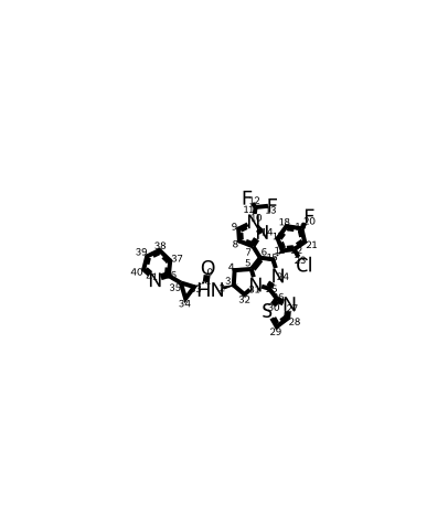 O=C(N[C@H]1CC2=C(c3ccn(C(F)F)n3)[C@H](c3ccc(F)cc3Cl)N=C(c3nccs3)N2C1)[C@@H]1CC1c1ccccn1